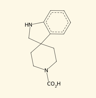 O=C(O)N1CCC2(CC1)CNc1ccccc12